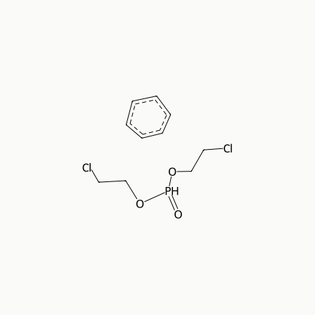 O=[PH](OCCCl)OCCCl.c1ccccc1